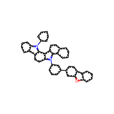 c1ccc(-n2c3ccccc3c3ccc4c(c5ccc6ccccc6c5n4-c4cccc(-c5ccc6c(c5)oc5ccccc56)c4)c32)cc1